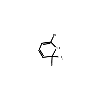 CC1(Br)C=CC=C(Br)N1